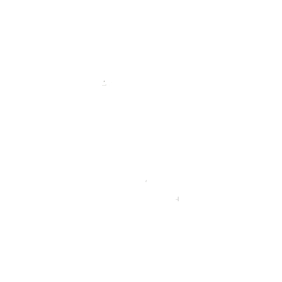 CC(=O)CCCCBr